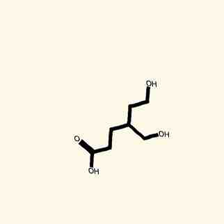 O=C(O)CC[C](CO)CCO